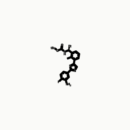 CC[C@H](NC(=O)OC(C)(C)C)c1cccc(-c2cnc(-c3ccc(F)c(N)c3)s2)c1C